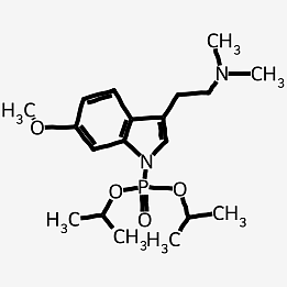 COc1ccc2c(CCN(C)C)cn(P(=O)(OC(C)C)OC(C)C)c2c1